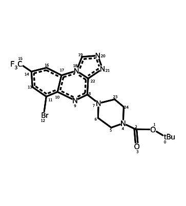 CC(C)(C)OC(=O)N1CCN(c2nc3c(Br)cc(C(F)(F)F)cc3n3cnnc23)CC1